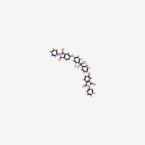 O=C1c2ccc(Oc3ccc(C(c4ccc(Oc5ccc6c(c5)C(=O)N(c5ccccc5)C6=O)cc4)(C(F)(F)F)C(F)(F)F)cc3)cc2C(=O)N1c1ccccc1